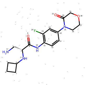 NC[C@@H](NC1CCC1)C(=O)Nc1ccc(N2CCOCC2=O)cc1F